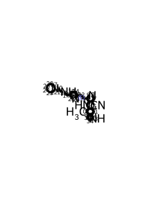 Cc1c(Nc2c(C#N)cncc2/C=C/c2ccc(CNCCN3CCCCCC3)cn2)ccc2[nH]ccc12